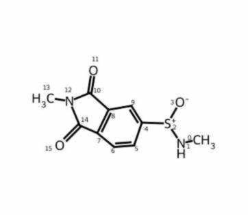 CN[S+]([O-])c1ccc2c(c1)C(=O)N(C)C2=O